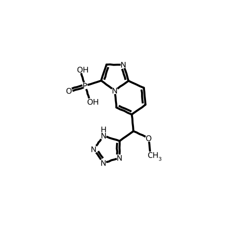 COC(c1ccc2ncc(P(=O)(O)O)n2c1)c1nnn[nH]1